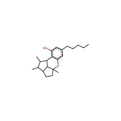 CCCCCc1cc(O)c2c(c1)OC1(C)CCC3C(C)C(C)C2C31